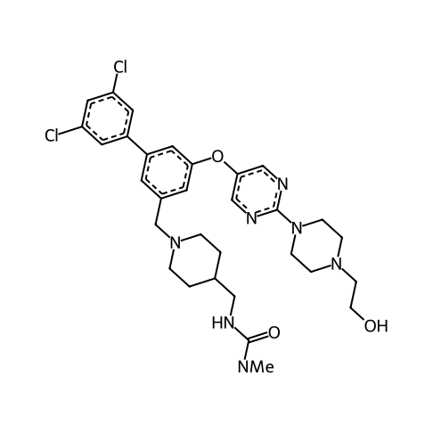 CNC(=O)NCC1CCN(Cc2cc(Oc3cnc(N4CCN(CCO)CC4)nc3)cc(-c3cc(Cl)cc(Cl)c3)c2)CC1